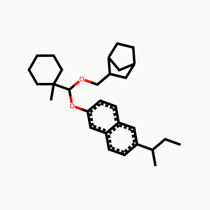 CCC(C)c1ccc2cc(OC(OCC3CC4CCC3C4)C3(C)CCCCC3)ccc2c1